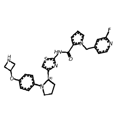 O=C(Nc1nc([C@H]2CCCN2c2ccc(OC3CNC3)cc2)cs1)c1cccn1Cc1ccnc(F)c1